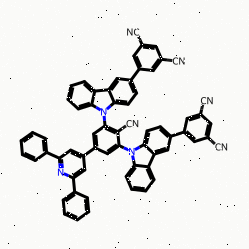 N#Cc1cc(C#N)cc(-c2ccc3c(c2)c2ccccc2n3-c2cc(-c3cc(-c4ccccc4)nc(-c4ccccc4)c3)cc(-n3c4ccccc4c4cc(-c5cc(C#N)cc(C#N)c5)ccc43)c2C#N)c1